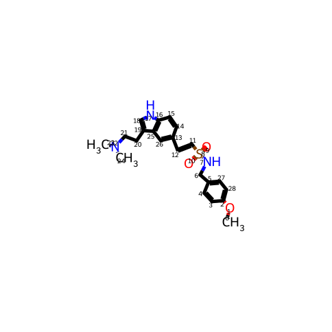 COc1ccc(CNS(=O)(=O)/C=C/c2ccc3[nH]cc(CCN(C)C)c3c2)cc1